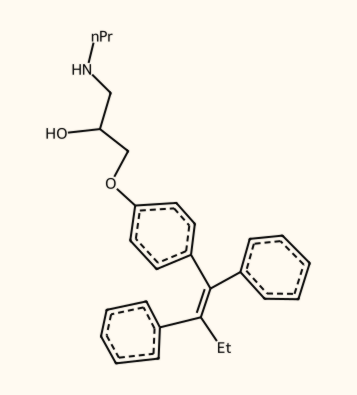 CCCNCC(O)COc1ccc(C(=C(CC)c2ccccc2)c2ccccc2)cc1